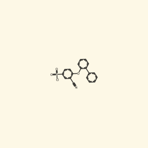 N#Cc1cc(S(=O)(=O)Cl)ccc1Oc1ccccc1-c1ccccc1